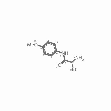 CC[C@H](N)C(=O)Nc1ccc(OC)cc1